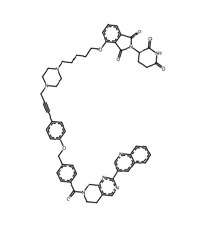 O=C1CCC(N2C(=O)c3cccc(OCCCCCN4CCN(CC#Cc5ccc(OCc6ccc(C(=O)N7CCc8cnc(-c9cnc%10ccccc%10c9)nc8C7)cc6)cc5)CC4)c3C2=O)C(=O)N1